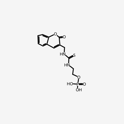 O=c1oc2ccccc2cc1CNC(=S)NCCOP(=O)(O)O